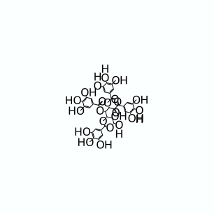 O=C(O[C@@H]([C@H](OC(=O)c1cc(O)c(O)c(O)c1)[C@@H](OC(=O)c1cc(O)c(O)c(O)c1)C(=O)C(=O)c1cc(O)c(O)c(O)c1)[C@H](O)CO)c1cc(O)c(O)c(O)c1